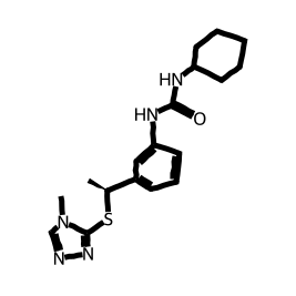 C[C@H](Sc1nncn1C)c1cccc(NC(=O)NC2CCCCC2)c1